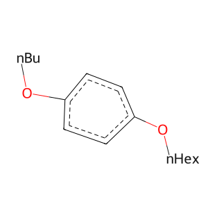 [CH2]CCCOc1ccc(OCCCCCC)cc1